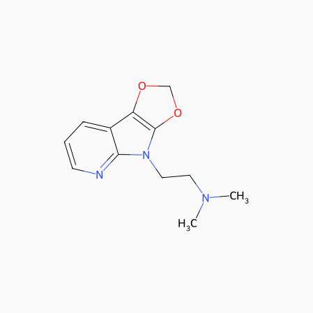 CN(C)CCn1c2c(c3cccnc31)OCO2